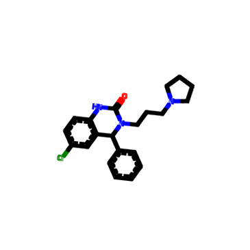 O=C1Nc2ccc(Cl)cc2C(c2ccccc2)N1CCCN1CCCC1